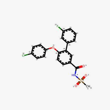 CS(=O)(=O)NC(=O)c1ccc(Oc2ccc(Cl)cc2)c(-c2cccc(F)c2)c1